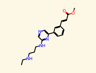 CCNCCCNc1cncc(-c2cccc(/C=C/C(=O)OC)c2)n1